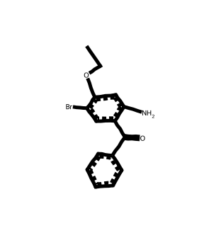 CCOc1cc(N)c(C(=O)c2ccccc2)cc1Br